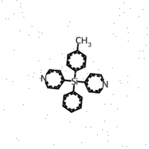 Cc1ccc([Si](c2ccccc2)(c2ccncc2)c2ccncc2)cc1